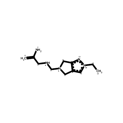 C=C(N)CNCN1Cc2cn(CC)nc2C1